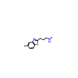 CNCCCc1nc2cc(C)ccc2s1